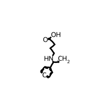 C=CC(NCCCC(=O)O)c1ccccc1